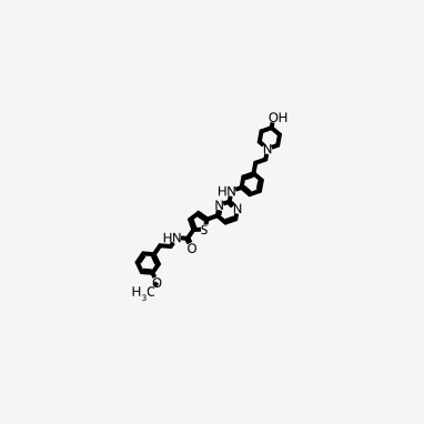 COc1cccc(CCNC(=O)c2ccc(-c3ccnc(Nc4cccc(CCN5CCC(O)CC5)c4)n3)s2)c1